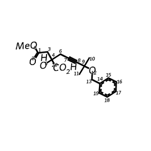 COC(=O)CC(O)(CC#CC(C)(C)OCc1ccccc1)C(=O)O